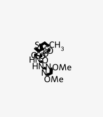 COc1cc(OC)nc(NC(=O)NS(=O)(=O)c2csc3c2S(=O)(=O)C(C)C3)n1